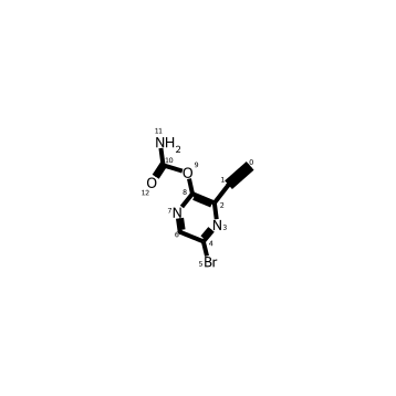 C#Cc1nc(Br)cnc1OC(N)=O